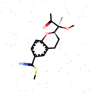 CO[C@](C)(C(C)=O)[C@H]1CCc2cc(C(=N)SC)ccc2O1